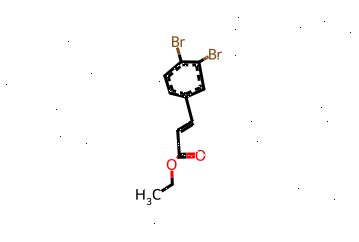 CCOC(=O)C=Cc1ccc(Br)c(Br)c1